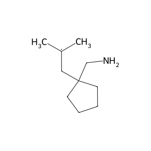 C[C](C)CC1(CN)CCCC1